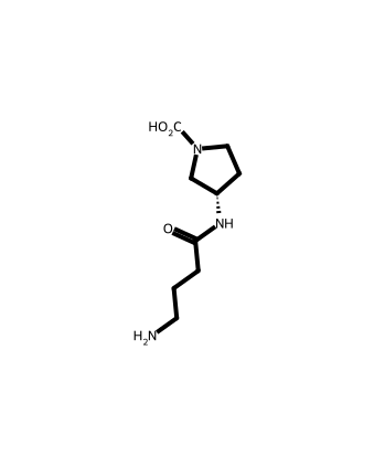 NCCCC(=O)N[C@H]1CCN(C(=O)O)C1